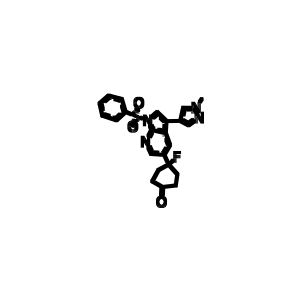 Cn1cc(-c2cn(S(=O)(=O)c3ccccc3)c3ncc(C4(F)CCC(=O)CC4)cc23)cn1